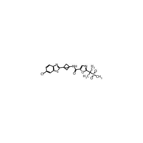 CC(C)(c1ncc(C(=O)NC23CC(c4nc5ccc(Cl)cc5s4)(C2)C3)o1)S(C)(=O)=O